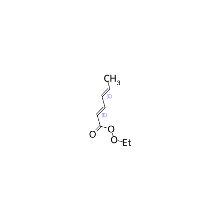 C/C=C/C=C/C(=O)OOCC